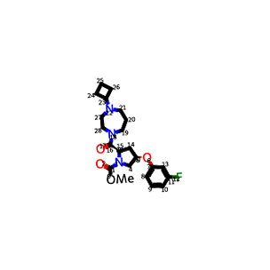 COC(=O)N1C[C@@H](Oc2cccc(F)c2)C[C@@H]1C(=O)N1CCCN(C2CCC2)CC1